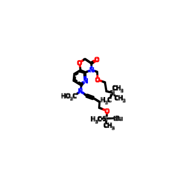 CC(C)(C)[Si](C)(C)OCCC#CN(C(=O)O)c1ccc2c(n1)N(COCC[Si](C)(C)C)C(=O)CO2